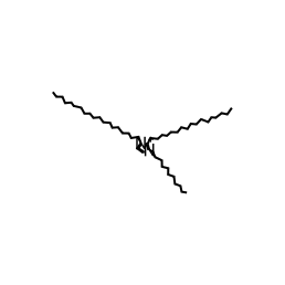 CCCCCCCCCCCCCCCCCCC[n+]1ccn(CCCCCCCCCCC)c1CCCCCCCCCCCCCCCCC